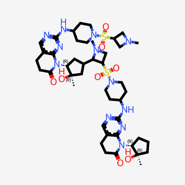 CN1CC(S(=O)(=O)N2CCC(Nc3ncc4c(n3)N([C@@H]3CC(C5C(S(=O)(=O)N6CCC(Nc7ncc8c(n7)N([C@@H]7CCC[C@@]7(C)O)C(=O)CC8)CC6)CN5C)C[C@@]3(C)O)C(=O)CC4)CC2)C1